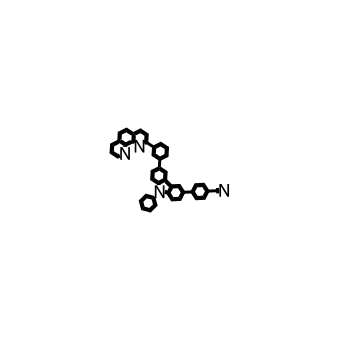 N#Cc1ccc(-c2ccc3c(c2)c2cc(-c4cccc(-c5ccc6ccc7cccnc7c6n5)c4)ccc2n3-c2ccccc2)cc1